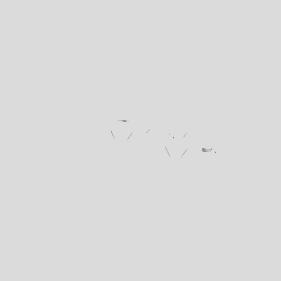 Cc1cc(OCP)cc(C)c1C(=O)Oc1cc(C)c(C#N)c(=O)n1C